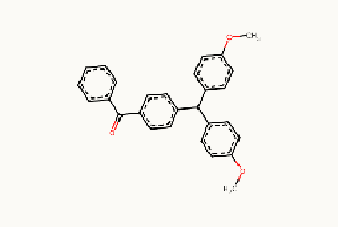 COc1ccc([C](c2ccc(OC)cc2)c2ccc(C(=O)c3ccccc3)cc2)cc1